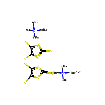 CCCC[N+](CCCC)(CCCC)CCCC.CCCC[N+](CCCC)(CCCC)CCCC.S=c1sc([S-])c([S-])s1.S=c1sc([S-])c([S-])s1.[Zn+2]